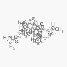 CCC1(O)CC2CN(CCc3c([nH]c4ccccc34)C(C(=O)OC)(c3cc4c(cc3OC)N(C)C3C45CCN4CC=C[C@](CC)(C45)[C@@H](O)[C@]3(O)C(=O)NCCCOC(=O)[C@H](C)N)C2)C1